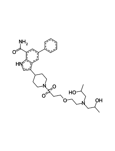 CC(O)CN(CCOCCS(=O)(=O)N1CCC(c2c[nH]c3c(C(N)=O)cc(-c4ccccc4)cc23)CC1)CC(C)O